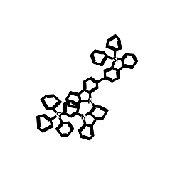 c1ccc([Si](c2ccccc2)(c2ccccc2)c2cccc(-n3c4ccccc4c4cccc(-n5c6ccccc6c6ccc(-c7ccc8c(c7)[Si](c7ccccc7)(c7ccccc7)c7ccccc7-8)cc65)c43)c2)cc1